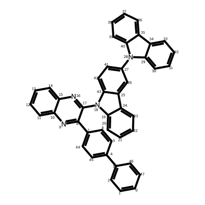 c1ccc(-c2ccc(-c3nc4ccccc4nc3-n3c4ccccc4c4cc(-n5c6ccccc6c6ccccc65)ccc43)cc2)cc1